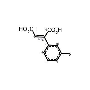 Cc1cccc(/C(=C/C(=O)O)C(=O)O)c1